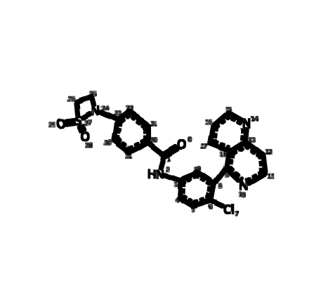 O=C(Nc1ccc(Cl)c(-c2nccc3ncccc23)c1)c1ccc(N2CCS2(=O)=O)cc1